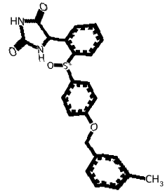 Cc1cccc(COc2ccc([S+]([O-])c3ccccc3C3NC(=O)NC3=O)cc2)c1